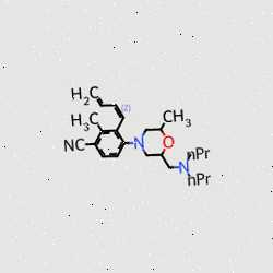 C=C/C=C\c1c(N2CC(C)OC(CN(CCC)CCC)C2)ccc(C#N)c1C